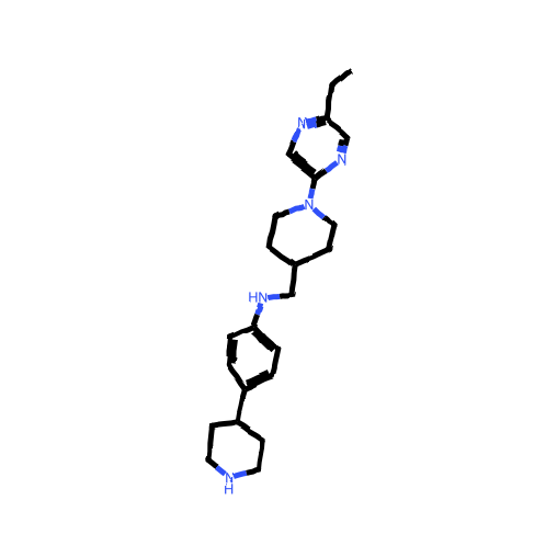 CCc1cnc(N2CCC(CNc3ccc(C4CCNCC4)cc3)CC2)cn1